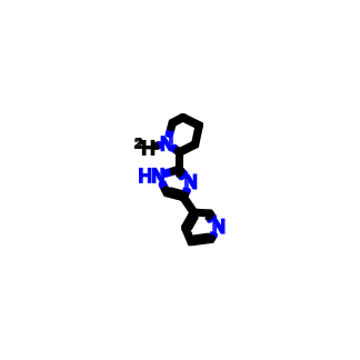 [2H]N1CCCCC1c1nc(-c2cccnc2)c[nH]1